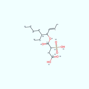 CC=CC(OC(=O)C(CC(=O)O)S(=O)(=O)O)C(CC)CCCC